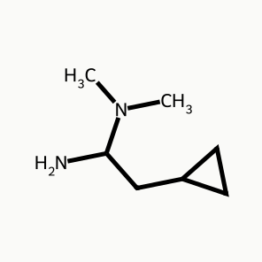 CN(C)C(N)CC1CC1